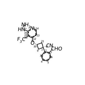 N#C[C@]1(c2ccccc2C=O)C[C@H](Oc2ccnc(NN)c2C(F)(F)F)C1